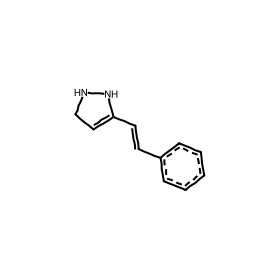 C(=Cc1ccccc1)C1=CCNN1